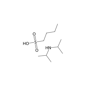 CC(C)NC(C)C.CCCCS(=O)(=O)O